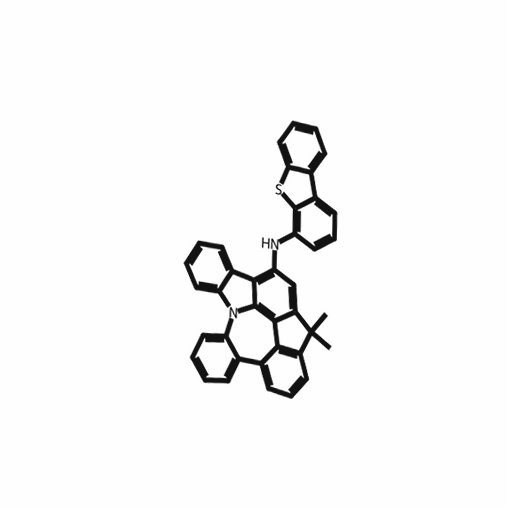 CC1(C)c2cccc3c2-c2c1cc(Nc1cccc4c1sc1ccccc14)c1c4ccccc4n(c21)-c1ccccc1-3